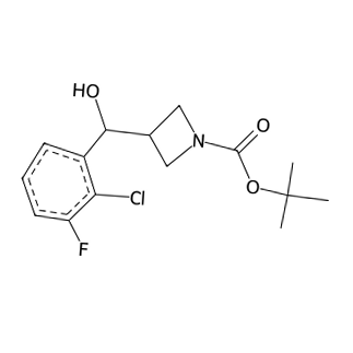 CC(C)(C)OC(=O)N1CC(C(O)c2cccc(F)c2Cl)C1